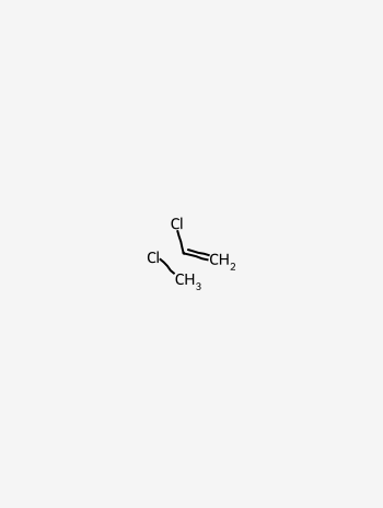 C=CCl.CCl